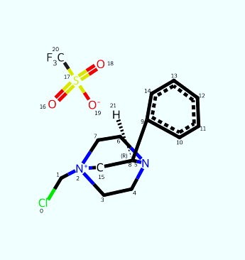 ClC[N+]12CCN(CC1)[C@H](c1ccccc1)C2.O=S(=O)([O-])C(F)(F)F